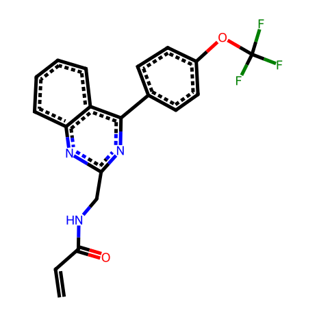 C=CC(=O)NCc1nc(-c2ccc(OC(F)(F)F)cc2)c2ccccc2n1